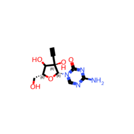 C#C[C@@]1(O)C(O)[C@@H](CO)O[C@H]1n1cnc(N)nc1=O